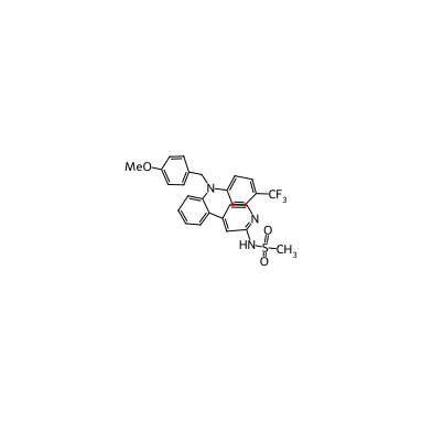 COc1ccc(CN(c2ccc(C(F)(F)F)cc2)c2ccccc2-c2ccnc(NS(C)(=O)=O)c2)cc1